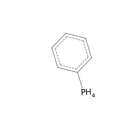 [PH4]c1ccccc1